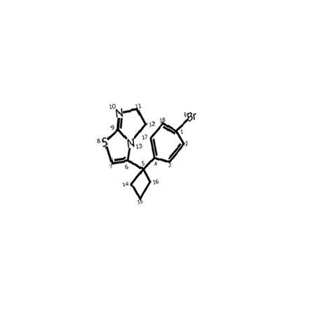 Brc1ccc(C2(C3=CSC4=NCCN34)CCC2)cc1